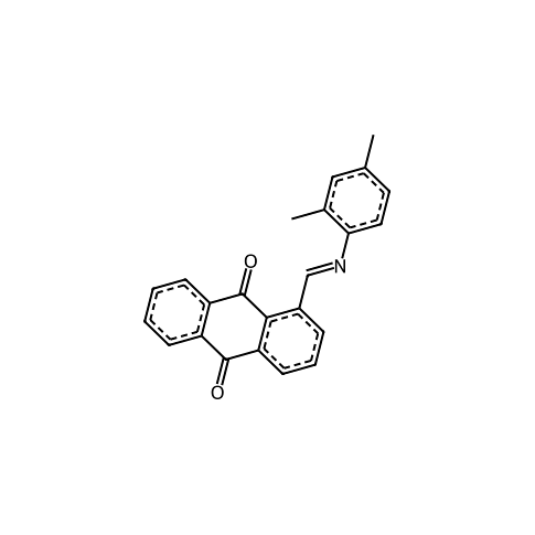 Cc1ccc(N=Cc2cccc3c2C(=O)c2ccccc2C3=O)c(C)c1